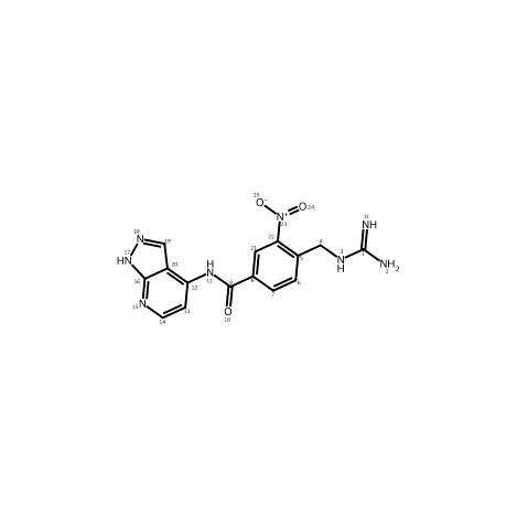 N=C(N)NCc1ccc(C(=O)Nc2ccnc3[nH]ncc23)cc1[N+](=O)[O-]